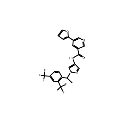 CC(c1ccc(C(F)(F)F)cc1C(F)(F)F)n1cc(NC(=O)c2cncc(-c3ccco3)c2)cn1